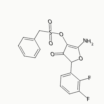 NC1=C(OS(=O)(=O)Cc2ccccc2)C(=O)C(c2cccc(F)c2F)O1